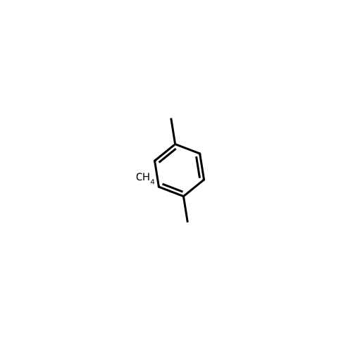 C.Cc1ccc(C)cc1